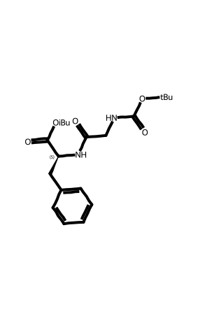 CC(C)COC(=O)[C@H](Cc1ccccc1)NC(=O)CNC(=O)OC(C)(C)C